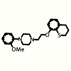 COc1ccccc1N1CCN(CCOc2cccc3c2SCCC3)CC1